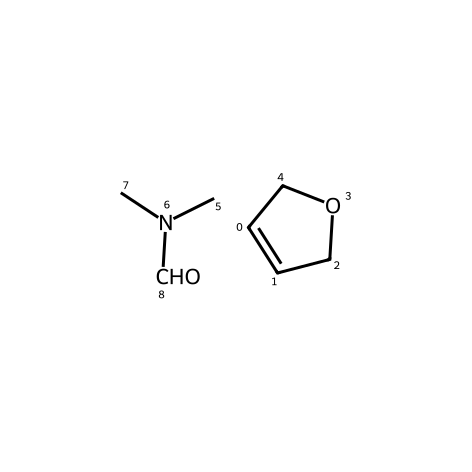 C1=CCOC1.CN(C)C=O